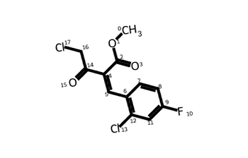 COC(=O)C(=Cc1ccc(F)cc1Cl)C(=O)CCl